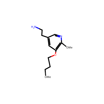 COCCCOc1cc(CCN)cnc1OC